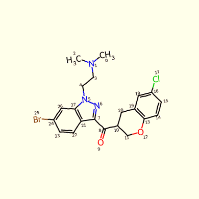 CN(C)CCn1nc(C(=O)C2COc3ccc(Cl)cc3C2)c2ccc(Br)cc21